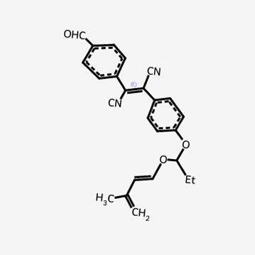 [C-]#[N+]/C(=C(/C#N)c1ccc(OC(CC)OC=CC(=C)C)cc1)c1ccc(C=O)cc1